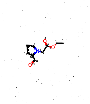 CCOC(=O)Cn1cccc1C=O